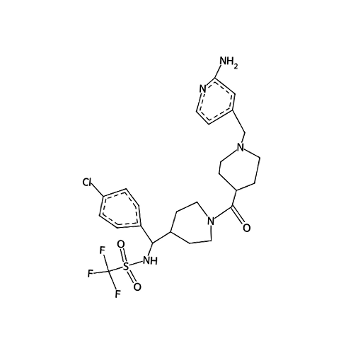 Nc1cc(CN2CCC(C(=O)N3CCC(C(NS(=O)(=O)C(F)(F)F)c4ccc(Cl)cc4)CC3)CC2)ccn1